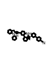 N#Cc1ccc(-c2cccc([C@@]34C=C3C4Nc3ccc(C4=C5[C@H]4C54Cc5ccccc5N4c4ccccc4)cc3-c3ccccc3)c2)cc1